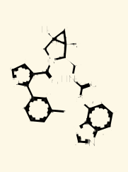 Cc1cccc(-c2sccc2C(=O)N2C[C@@H]3C[C@@H]3[C@H]2CNC(=O)Oc2cccc3ncsc23)c1